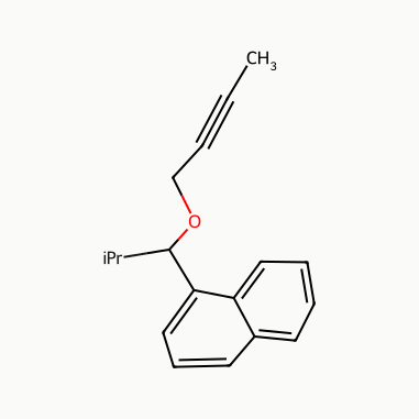 CC#CCOC(c1cccc2ccccc12)C(C)C